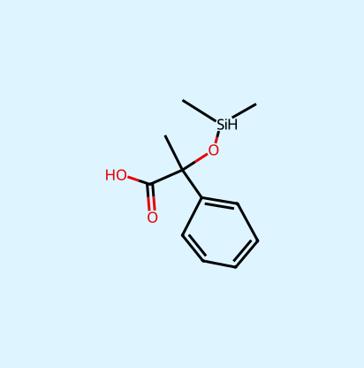 C[SiH](C)OC(C)(C(=O)O)c1ccccc1